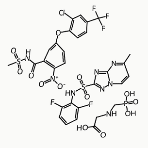 CS(=O)(=O)NC(=O)c1cc(Oc2ccc(C(F)(F)F)cc2Cl)ccc1[N+](=O)[O-].Cc1ccn2nc(S(=O)(=O)Nc3c(F)cccc3F)nc2n1.O=C(O)CNCP(=O)(O)O